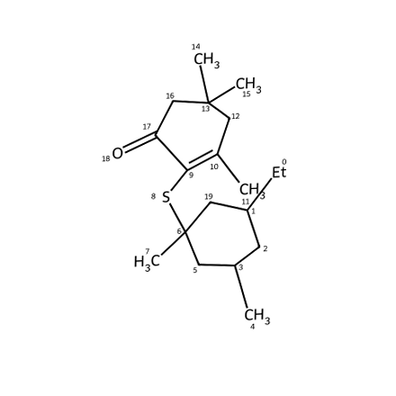 CCC1CC(C)CC(C)(SC2=C(C)CC(C)(C)CC2=O)C1